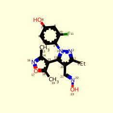 CCc1nn(-c2ccc(O)cc2F)c(-c2c(C)noc2C)c1C=NO